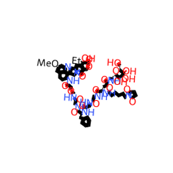 CC[C@@]1(O)C(=O)OCc2c1cc1n(c2=O)Cc2c-1nc1cc(OC)cc3c1c2[C@@H](NC(=O)COCNC(=O)CNC(=O)[C@H](Cc1ccccc1)NC(=O)CNC(=O)CNC(=O)[C@H](CCC(=O)NC[C@@H]1O[C@H](CO)[C@@H](O)[C@H](O)[C@H]1O)NC(=O)CCCCCN1C(=O)C=CC1=O)CC3